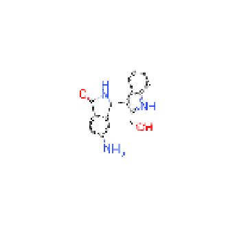 Nc1ccc2c(c1)C(c1c(CO)[nH]c3ccccc13)NC2=O